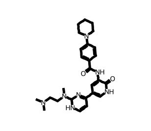 CN(C)CCN(C)C1N=C(c2c[nH]c(=O)c(NC(=O)c3ccc(N4CCCCC4)cc3)c2)C=CN1